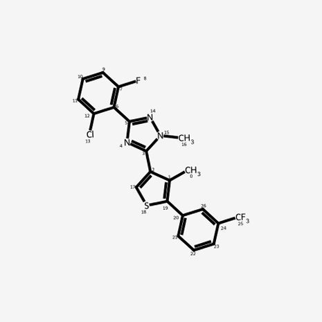 Cc1c(-c2nc(-c3c(F)cccc3Cl)nn2C)csc1-c1cccc(C(F)(F)F)c1